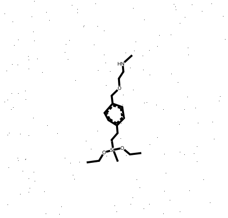 CCO[Si](C)(CCc1ccc(COCCNC)cc1)OCC